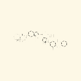 Cc1cc(-n2ncc(C(=O)c3cc4cc(C)c(N5C(=O)NC6(CCCCC6)C5=O)cc4[nH]3)c2N)ccc1Oc1ccccc1F